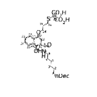 CCCCCCCCCCCCCCCCNC(=O)c1cc(OCCCSC(C(=O)O)C(=O)O)c2ccccc2c1O